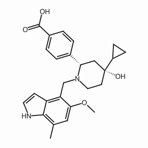 COc1cc(C)c2[nH]ccc2c1CN1CC[C@](O)(C2CC2)C[C@H]1c1ccc(C(=O)O)cc1